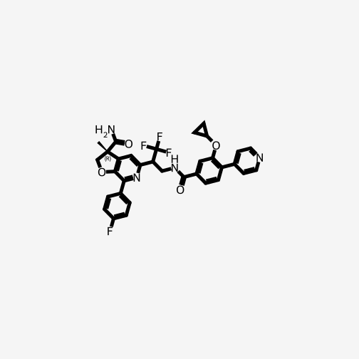 C[C@]1(C(N)=O)COc2c1cc(C(CNC(=O)c1ccc(-c3ccncc3)c(OC3CC3)c1)C(F)(F)F)nc2-c1ccc(F)cc1